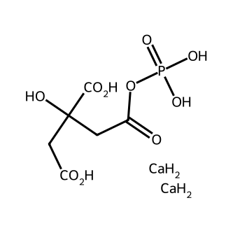 O=C(O)CC(O)(CC(=O)OP(=O)(O)O)C(=O)O.[CaH2].[CaH2]